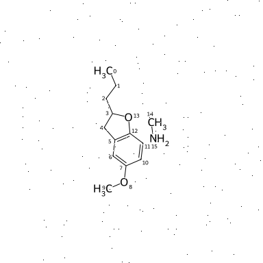 CCCC1Cc2cc(OC)ccc2O1.CN